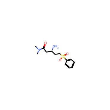 CN(C)C(=O)C[C@@H](N)CCS(=O)(=O)c1ccccc1